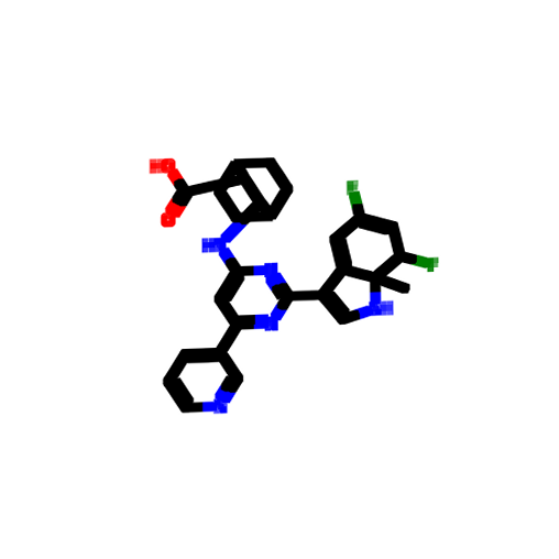 CC12NC=C(c3nc(NC4C5CCC(CC5)C4C(=O)O)cc(-c4cccnc4)n3)C1=CC(F)=CC2F